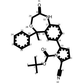 CC(C)(C)OC(=O)n1c(C#N)ccc1-c1ccc2c(c1)C(C)(c1ccccc1)OCC(=O)N2